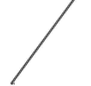 SSSSSSSSSSSSSSSSSSSSSSSSSSSSSSSSSSSSSSSSSSSSSSSSSSSSSSSSSSSSSSSSSSSSSSSSSSSSSSSSSSSSSSSSSSSSSSSSSSSSSSSSSSSSS